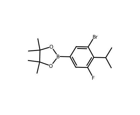 CC(C)c1c(F)cc(B2OC(C)(C)C(C)(C)O2)cc1Br